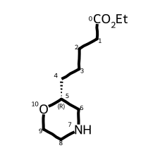 CCOC(=O)CCCC[C@@H]1CNCCO1